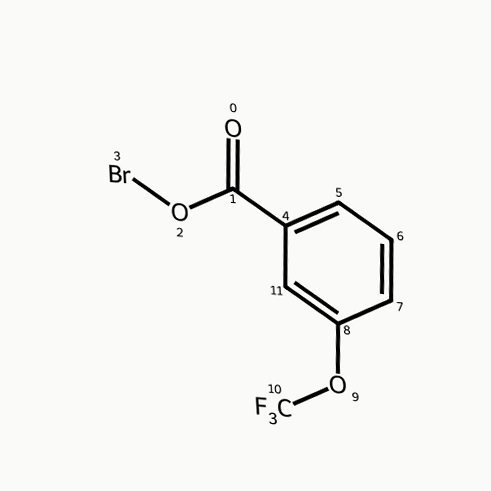 O=C(OBr)c1cccc(OC(F)(F)F)c1